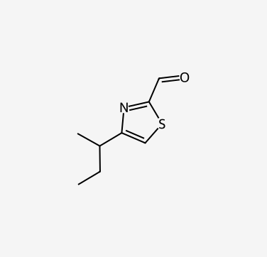 CCC(C)c1csc(C=O)n1